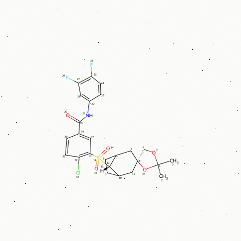 CC1(C)OC[C@]2(CC3CCC(C2)[C@@H]3S(=O)(=O)c2cc(C(=O)Nc3ccc(F)c(F)c3)ccc2Cl)O1